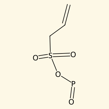 C=CCS(=O)(=O)OP=O